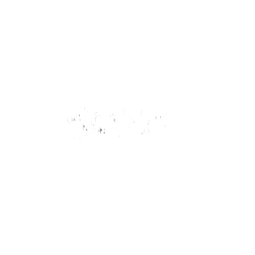 CCOC(=O)Cc1ccc(/N=C2\SCC(=O)N2CC)cc1